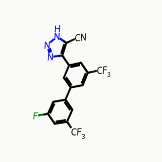 N#Cc1[nH]nnc1-c1cc(-c2cc(F)cc(C(F)(F)F)c2)cc(C(F)(F)F)c1